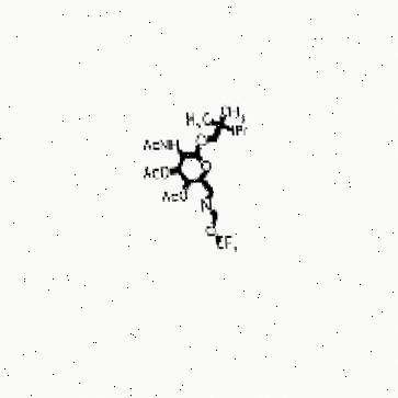 CC(=O)NC1C(OCC(C)(C)C(C)C)OC(CN=COC(F)(F)F)C(OC(C)=O)C1OC(C)=O